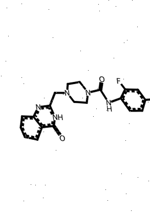 Cc1ccc(NC(=O)N2CCN(Cc3nc4ccccc4c(=O)[nH]3)CC2)c(F)c1